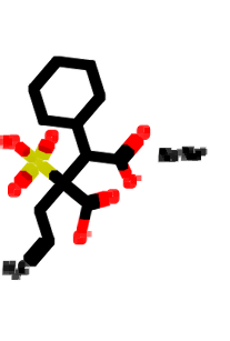 C=CCC(C(=O)[O-])(C(C(=O)[O-])C1CCCCC1)S(=O)(=O)O.[Na+].[Na+]